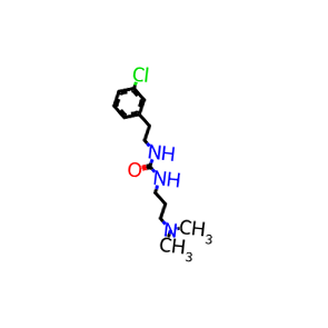 CN(C)CCCNC(=O)NCCc1cccc(Cl)c1